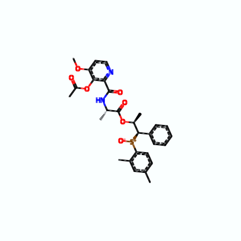 COc1ccnc(C(=O)N[C@@H](C)C(=O)O[C@@H](C)[C@@H](c2ccccc2)[S+]([O-])c2ccc(C)cc2C)c1OC(C)=O